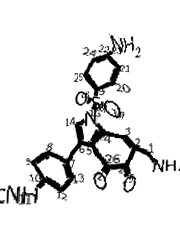 CC(=O)NCC1=Cc2c(c(-c3ccc(NC(C)=O)cc3)cn2S(=O)(=O)c2ccc(N)cc2)C(=O)C1=O